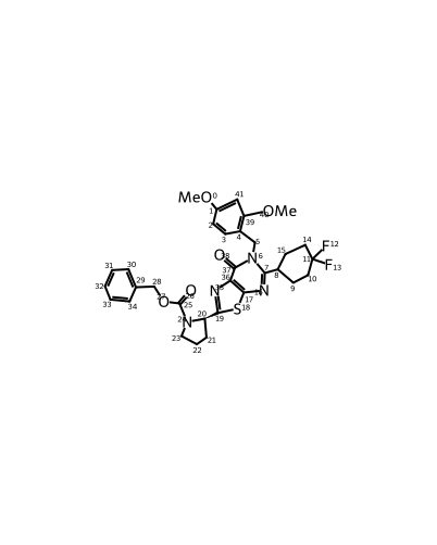 COc1ccc(Cn2c(C3CCC(F)(F)CC3)nc3sc([C@H]4CCCN4C(=O)OCc4ccccc4)nc3c2=O)c(OC)c1